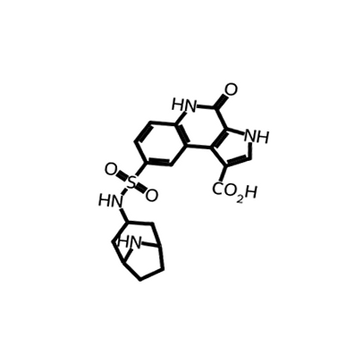 O=C(O)c1c[nH]c2c(=O)[nH]c3ccc(S(=O)(=O)NC4CC5CCC(C4)N5)cc3c12